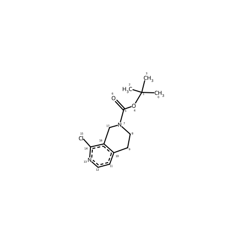 CC(C)(C)OC(=O)N1CCc2ccnc(Cl)c2C1